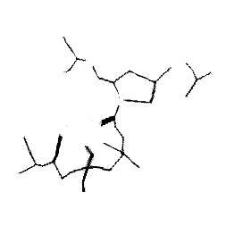 CC(C)OC1CC(COC(C)I)N(C(=O)CC(C)(C)CC(C)(C)CC(=O)C(C)C)C1